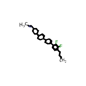 C=CCCc1ccc(C2=CCC(C3CCC(C4CCC(/C=C/C)CC4)CC3)CC2)c(F)c1F